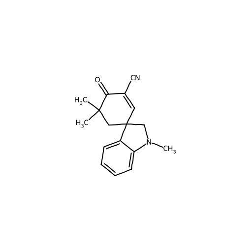 CN1CC2(C=C(C#N)C(=O)C(C)(C)C2)c2ccccc21